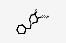 O=C(O)C1CN(CC2CCCCC2)CCC1=O